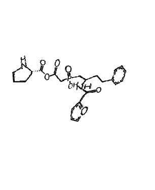 O=C(CP(=O)(O)CC(CCc1ccccc1)NC(=O)c1ccco1)OC(=O)[C@@H]1CCCN1